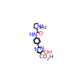 CC(=O)N1CCCC1C(=O)Nc1ccc(-c2ncc(C(=O)O)c(O)n2)cc1